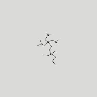 CCO[Si](C)(CC)CCC(CN(C)C)(CN(C)C)CN(C)C